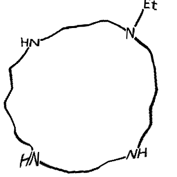 CCN1CCCNCCNCCCNCC1